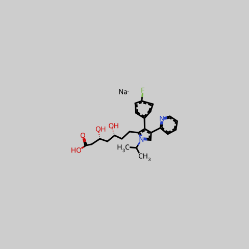 CC(C)n1cc(-c2ccccn2)c(-c2ccc(F)cc2)c1CC[C@@H](O)C[C@@H](O)CC(=O)O.[Na]